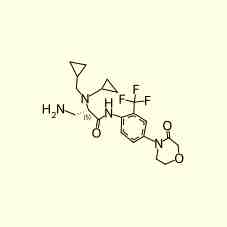 NC[C@@H](C(=O)Nc1ccc(N2CCOCC2=O)cc1C(F)(F)F)N(CC1CC1)C1CC1